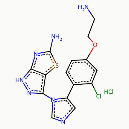 Cl.NCCOc1ccc(-c2cncn2-c2n[nH]c3nc(N)sc23)c(Cl)c1